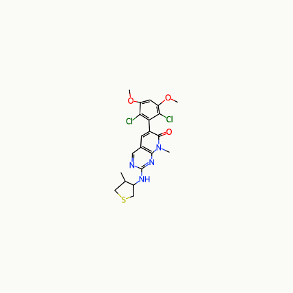 COc1cc(OC)c(Cl)c(-c2cc3cnc(NC4CSCC4C)nc3n(C)c2=O)c1Cl